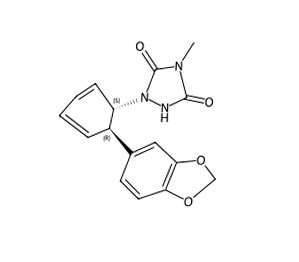 Cn1c(=O)[nH]n([C@H]2C=CC=C[C@@H]2c2ccc3c(c2)OCO3)c1=O